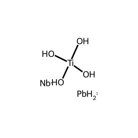 [Nb].[OH][Ti]([OH])([OH])[OH].[PbH2]